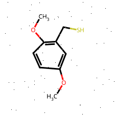 COc1ccc(OC)c(CS)c1